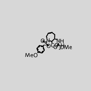 COC(=O)NC1CC=CCN(S(=O)(=O)c2ccc(OC)cc2)C1C(=O)O